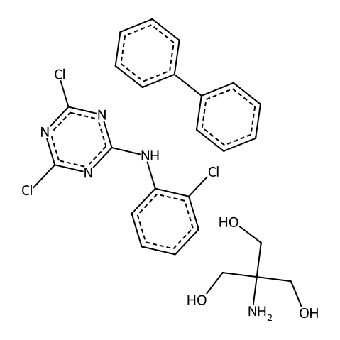 Clc1nc(Cl)nc(Nc2ccccc2Cl)n1.NC(CO)(CO)CO.c1ccc(-c2ccccc2)cc1